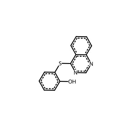 Oc1ccccc1Sc1ncnc2ccccc12